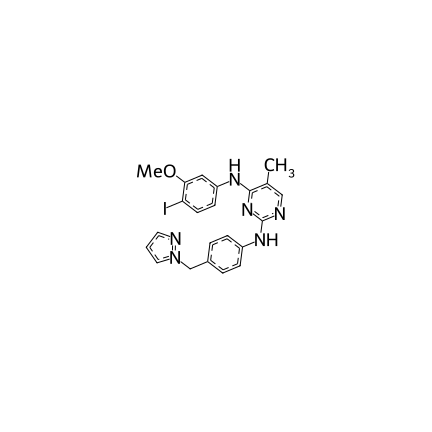 COc1cc(Nc2nc(Nc3ccc(Cn4cccn4)cc3)ncc2C)ccc1I